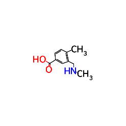 CNCc1cc(C(=O)O)ccc1C